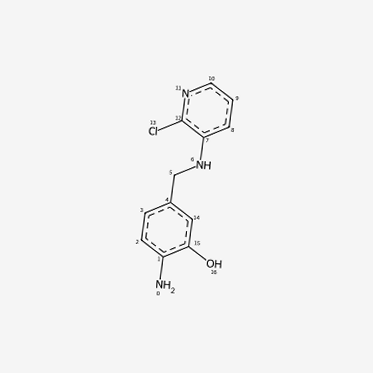 Nc1ccc(CNc2cccnc2Cl)cc1O